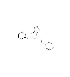 C1=CCCC(NC2N=C3CC=NC3=C(OCC3C=CCCC3)N2)=C1